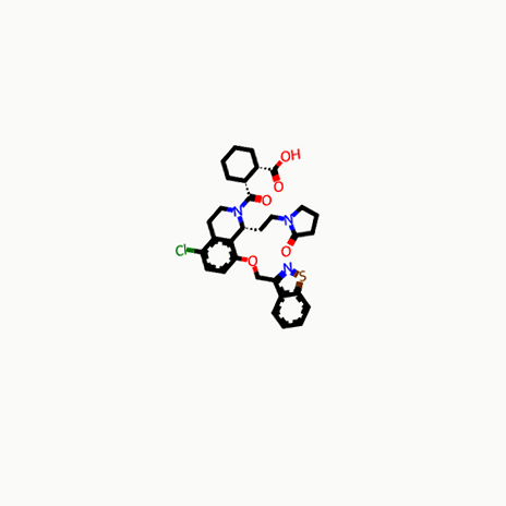 O=C(O)[C@H]1CCCC[C@H]1C(=O)N1CCc2c(Cl)ccc(OCc3nsc4ccccc34)c2[C@H]1CCN1CCCC1=O